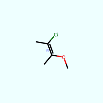 CO/C(C)=C(/C)Cl